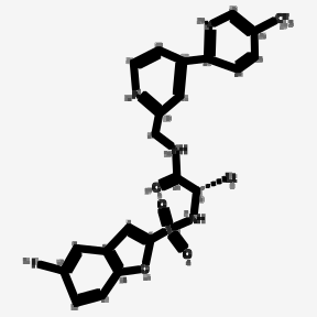 CC[C@H](NS(=O)(=O)c1cc2cc(F)ccc2o1)C(=O)NCc1cc(-c2ccc(C(F)(F)F)cn2)ccn1